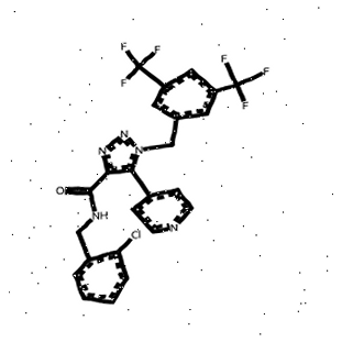 O=C(NCc1ccccc1Cl)c1nnn(Cc2cc(C(F)(F)F)cc(C(F)(F)F)c2)c1-c1ccncc1